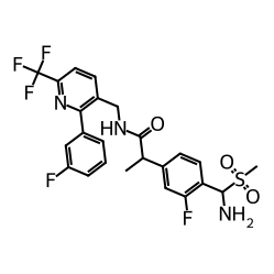 CC(C(=O)NCc1ccc(C(F)(F)F)nc1-c1cccc(F)c1)c1ccc(C(N)S(C)(=O)=O)c(F)c1